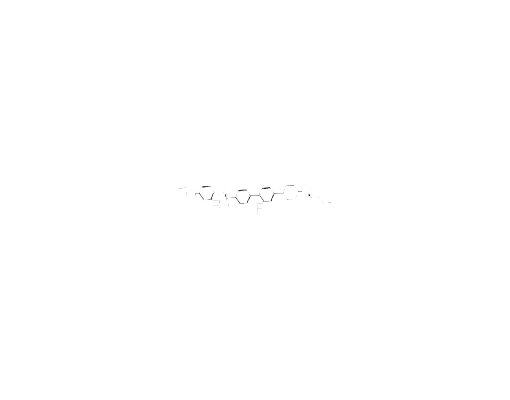 CCCCOC1CCC(c2ccc(-c3ccc(C(=O)Oc4ccc(OCC)cc4F)cc3)c(F)c2F)CC1